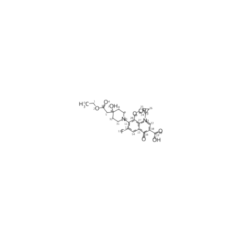 CCOC(=O)CC1(O)CCN(c2c(F)cc3c(=O)c(C(=O)O)cn(C4CC4)c3c2OC)CC1